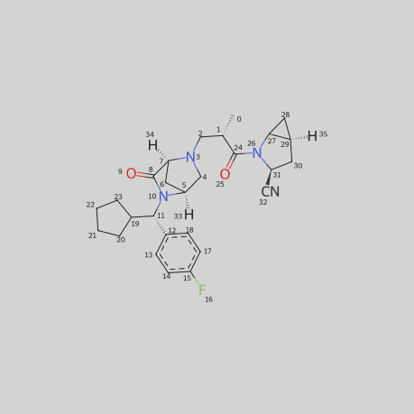 C[C@@H](CN1C[C@@H]2C[C@H]1C(=O)N2[C@H](c1ccc(F)cc1)C1CCCC1)C(=O)N1C2C[C@H]2C[C@H]1C#N